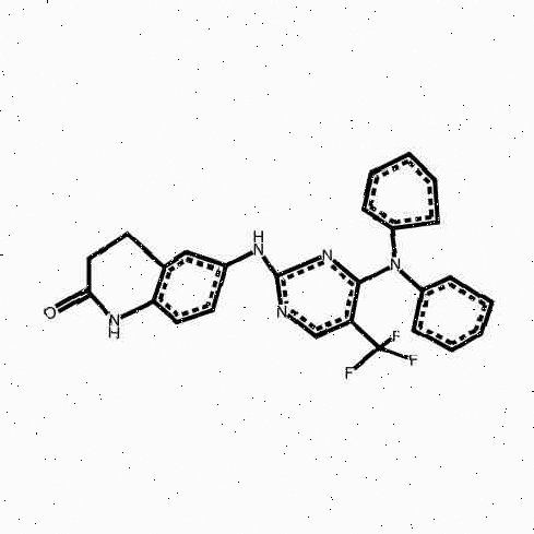 O=C1CCc2cc(Nc3ncc(C(F)(F)F)c(N(c4ccccc4)c4ccccc4)n3)ccc2N1